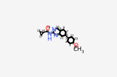 COc1ccc(-c2ccc3cnc(NC(=O)C4CC4)nc3c2)cc1